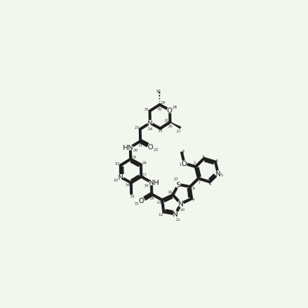 COc1ccncc1-c1cn2ncc(C(=O)Nc3cc(NC(=O)CN4C[C@H](C)O[C@@H](C)C4)cnc3C)c2s1